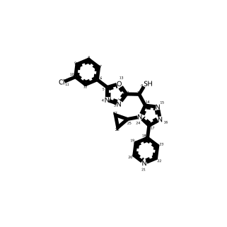 SC(c1nnc(-c2cccc(Cl)c2)o1)c1nnc(-c2ccncc2)n1C1CC1